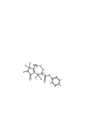 CN1C(=O)C2=C(NCCN(C(=O)Cc3ccccc3)C2(C)C)C1(C)C